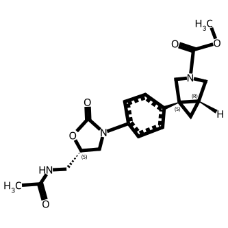 COC(=O)N1C[C@@H]2C[C@]2(c2ccc(N3C[C@H](CNC(C)=O)OC3=O)cc2)C1